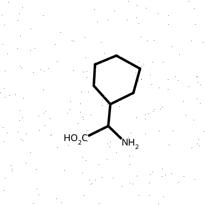 NC(C(=O)O)C1CCCCC1